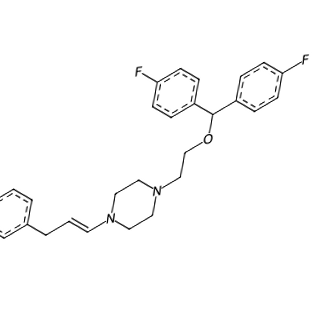 Fc1ccc(C(OCCN2CCN(C=CCc3ccccc3)CC2)c2ccc(F)cc2)cc1